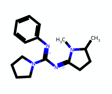 CC1CC/C(=N/C(=N/c2ccccc2)N2CCCC2)N1C